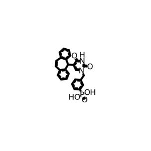 O=c1[nH]c(=O)n(Cc2cccc(P(=O)(O)O)c2)cc1C1c2ccccc2C=Cc2ccccc21